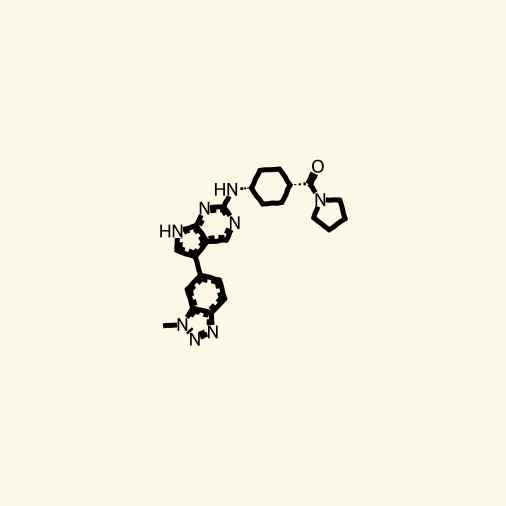 Cn1nnc2ccc(-c3c[nH]c4nc(N[C@H]5CC[C@@H](C(=O)N6CCCC6)CC5)ncc34)cc21